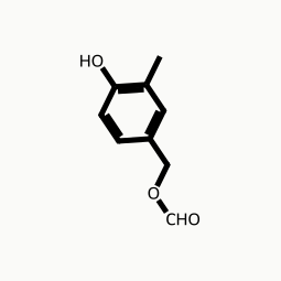 Cc1cc(COC=O)ccc1O